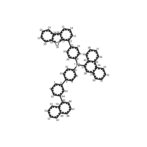 c1cc(-c2ccc(N(c3ccc(-c4cccc5c4oc4ccccc45)cc3)c3cc4ccccc4c4ccccc34)cc2)cc(-c2cccc3ccccc23)c1